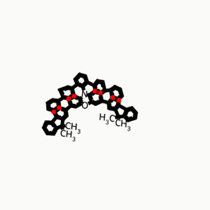 CC1(C)c2ccccc2-c2ccc(-c3ccc4c(c3)Oc3cc(-c5ccc6c(c5)C(C)(C)c5ccccc5-6)ccc3N4c3c(-c4ccc(-c5ccccc5)cc4)cccc3-c3ccc(-c4ccccc4)cc3)cc21